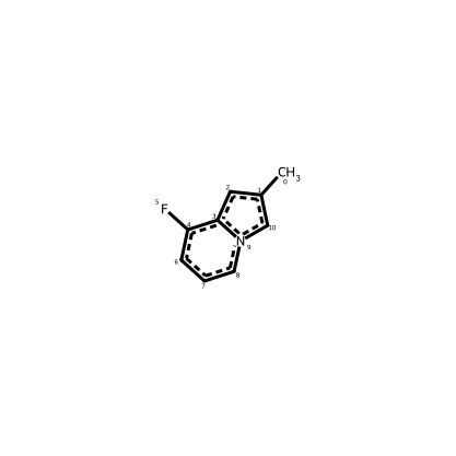 Cc1cc2c(F)cccn2c1